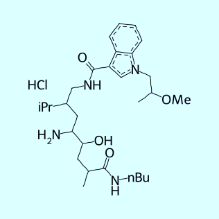 CCCCNC(=O)C(C)CC(O)C(N)CC(CNC(=O)c1cn(CC(C)OC)c2ccccc12)C(C)C.Cl